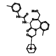 COCC1=N[C@@H](NC(=O)Nc2cccc(C)c2)C(=O)N(CC(=O)N2CC3CCC(CC3)C2)c2c(C)cccc21